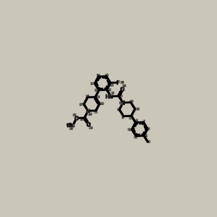 Cc1ccc(C2CCN(C(=O)Nc3c(F)cccc3C3=CCN(C(=O)OC(C)(C)C)CC3)CC2)cc1